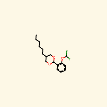 CCCCCCC1COC(c2ccccc2OC(F)F)OC1